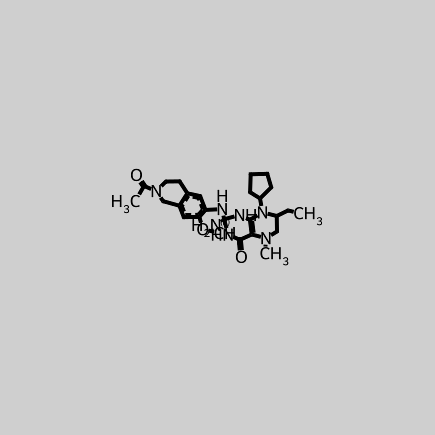 CCC1CN(C)C2=C(N[C@@](N)(Nc3cc4c(cc3OC)CN(C(C)=O)CC4)NC2=O)N1C1CCCC1